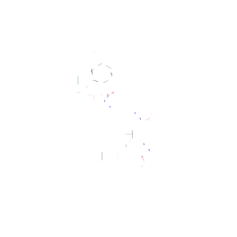 CC(C)(C)C(=O)N1CC[C@@H](C(=O)N2CCC(NS(=O)(=O)c3ccc(Br)cc3C(F)(F)F)CC2)C1